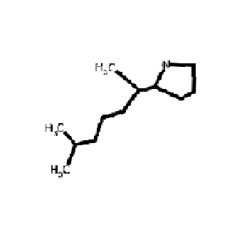 CC(C)CCCC(C)C1CCC[N]1